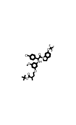 COc1cc(NC(C(=O)N2CCc3ccc(OC(F)(F)F)cc32)c2ccc(Cl)cc2)cc(OCCC(C)C(=O)OC(C)(C)C)c1